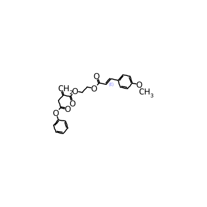 C=C(CC(=O)Oc1ccccc1)C(=O)OCCOC(=O)/C=C/c1ccc(OC)cc1